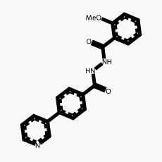 COc1ccccc1C(=O)NNC(=O)c1ccc(-c2cccnc2)cc1